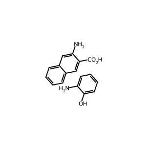 Nc1cc2ccccc2cc1C(=O)O.Nc1ccccc1O